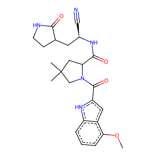 COc1cccc2[nH]c(C(=O)N3CC(C)(C)CC3C(=O)N[C@H](C#N)CC3CCNC3=O)cc12